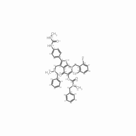 CNC(=O)Nc1ccc(-c2sc3c(c2CN(C)Cc2ccccc2)c(=O)c(OC(=O)N(C)Cc2ccccc2)cn3Cc2c(F)cccc2F)cc1